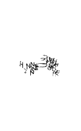 [2H]C([2H])([2H])[C@H]1CN(C(=O)c2cc3c(cc2F)nc(N)c2cncn23)[C@H]2c3ccc(C(F)(F)F)cc3C[C@H]2O1